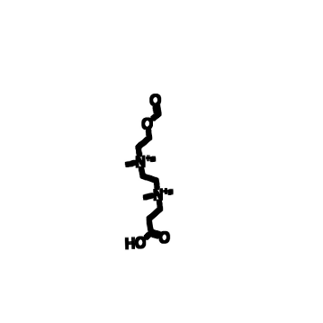 C[N+](C)(CCOC=O)CC[N+](C)(C)CCC(=O)O